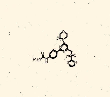 CNC(=O)Nc1ccc(-c2nc(CS(=O)(=O)c3nccs3)cc(N3CCOC[C@@H]3C)n2)cc1